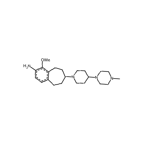 COc1c(N)ccc2c1CCC(N1CCC(N3CCN(C)CC3)CC1)CC2